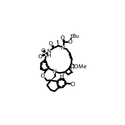 CO[C@@H]1/C=C\CN(C(=O)OC(C)(C)C)[C@H](C)C(=O)NS(=O)(=O)c2ccc3c(c2)N(C[C@@H]2CC[C@H]21)C[C@@]1(CCCc2cc(Cl)ccc21)CO3